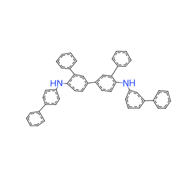 c1ccc(-c2ccc(Nc3ccc(-c4ccc(Nc5cccc(-c6ccccc6)c5)c(-c5ccccc5)c4)cc3-c3ccccc3)cc2)cc1